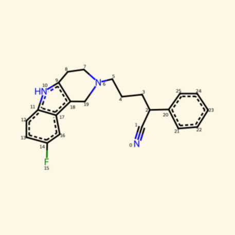 N#CC(CCCN1CCc2[nH]c3ccc(F)cc3c2C1)c1ccccc1